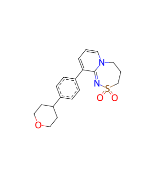 O=S1(=O)CCCN2C=CC=C(c3ccc(C4CCOCC4)cc3)C2=N1